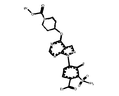 CCC(=O)c1ccc(-n2ncc3c(OC4CCN(C(=O)OC(C)C)CC4)ncnc32)c(F)c1S(N)(=O)=O